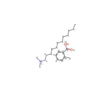 CCCCCCCCCCCCN(C)C.Cc1ccccc1C(=O)O